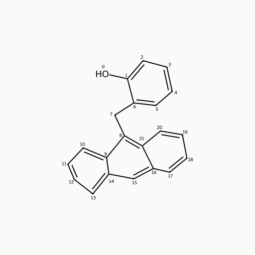 Oc1ccccc1Cc1c2ccccc2cc2ccccc12